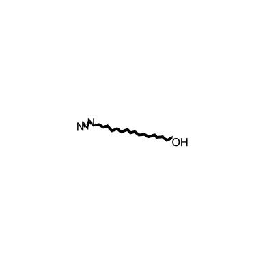 [N-]=[N+]=NCCCCCCCCCCCCCCCCCCO